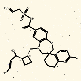 C=CCS(=O)(=O)NC(=O)c1ccc2c(c1)N(C[C@@H]1CC[C@H]1C(O)/C=C/CCC)C[C@@]1(CCCc3cc(Cl)ccc31)CO2